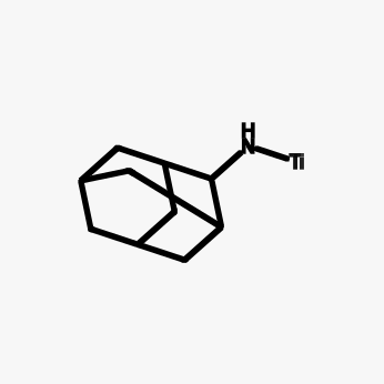 [Ti][NH]C1C2CC3CC(C2)CC1C3